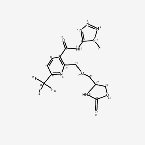 Cn1nnnc1NC(=O)c1ccc(C(F)(F)F)nc1COCC1COC(=O)N1